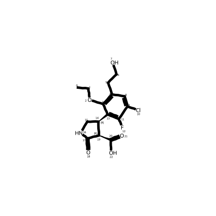 CCOc1c(CCO)cc(Cl)c(F)c1[C@@H]1CNC(=O)[C@@H]1C(=O)O